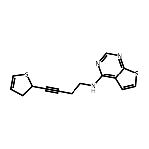 C(#CC1CC=CS1)CCNc1ncnc2sccc12